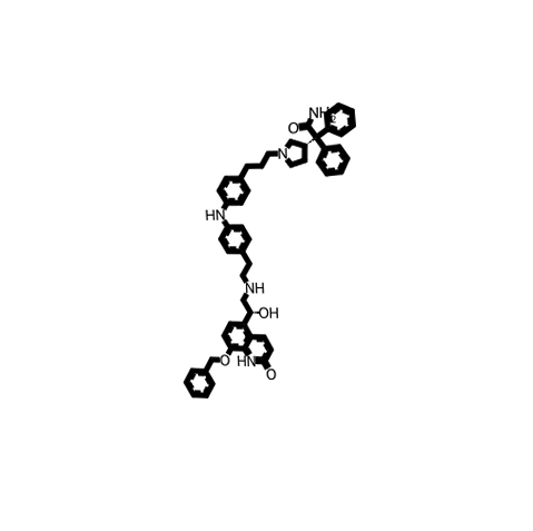 NC(=O)C(c1ccccc1)(c1ccccc1)[C@@H]1CCN(CCCc2ccc(Nc3ccc(CCNC[C@H](O)c4ccc(OCc5ccccc5)c5[nH]c(=O)ccc45)cc3)cc2)C1